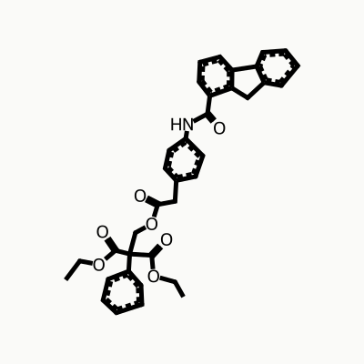 CCOC(=O)C(COC(=O)Cc1ccc(NC(=O)c2cccc3c2Cc2ccccc2-3)cc1)(C(=O)OCC)c1ccccc1